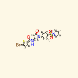 Cc1cc(N2CC(NC(=O)c3ccc(Br)s3)CC2=O)ccc1S(=O)(=O)N1CCCC1